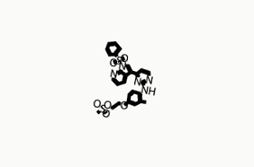 Cc1cc(OCCOS(C)(=O)=O)ccc1Nc1nccc(-c2cn(S(=O)(=O)c3ccccc3)c3ncccc23)n1